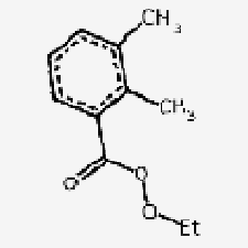 [CH2]COOC(=O)c1cccc(C)c1C